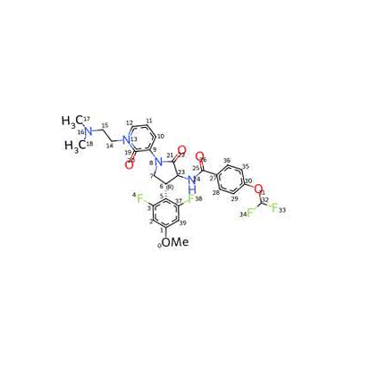 COc1cc(F)c([C@@H]2CN(c3cccn(CCN(C)C)c3=O)C(=O)C2NC(=O)c2ccc(OC(F)F)cc2)c(F)c1